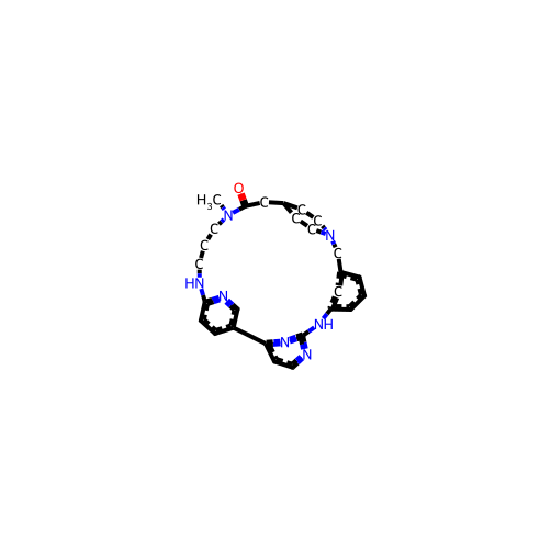 CN1CCCNc2ccc(cn2)-c2ccnc(n2)Nc2cccc(c2)CN2CCC(CC2)CC1=O